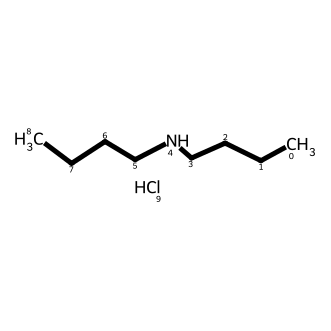 CCCCNCCCC.Cl